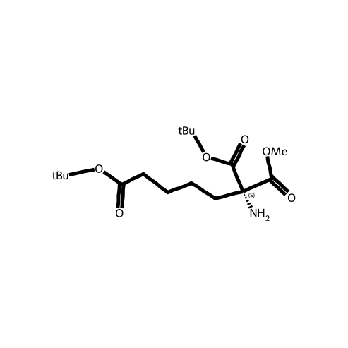 COC(=O)[C@@](N)(CCCCC(=O)OC(C)(C)C)C(=O)OC(C)(C)C